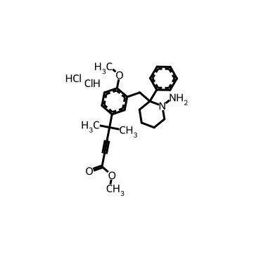 COC(=O)C#CC(C)(C)c1ccc(OC)c(CC2(c3ccccc3)CCCCN2N)c1.Cl.Cl